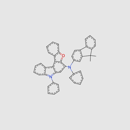 CC1(C)c2ccccc2-c2ccc(N(c3ccccc3)c3cc4c(c5ccccc5n4-c4ccccc4)c4c3oc3ccccc34)cc21